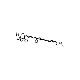 CCCCCCCC/C=C/C(=O)CCCCCC(C)C(=O)O